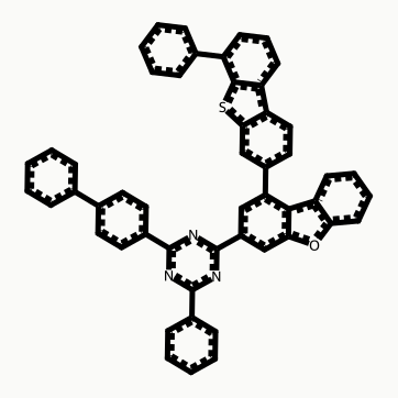 c1ccc(-c2ccc(-c3nc(-c4ccccc4)nc(-c4cc(-c5ccc6c(c5)sc5c(-c7ccccc7)cccc56)c5c(c4)oc4ccccc45)n3)cc2)cc1